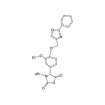 CCCN1C(=O)OC(=O)C1c1ccc(OCc2coc(-c3ccccc3)n2)c(OCC)c1